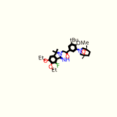 CCOc1cc2c(c(F)c1OCC)C(=N)N(CC(=O)c1cc(N3C[C@]4(C)CC[C@](C)(C3)O4)c(OC)c(C(C)(C)C)c1)C2(C)C